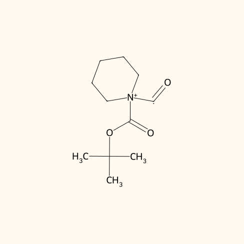 CC(C)(C)OC(=O)[N+]1([C]=O)CCCCC1